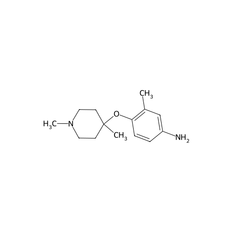 Cc1cc(N)ccc1OC1(C)CCN(C)CC1